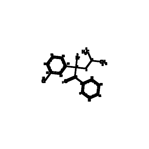 CC(C)CC(Br)(C(=O)c1ccccc1)c1cccc(Cl)c1